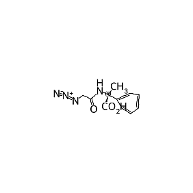 C[C@](NC(=O)CN=[N+]=[N-])(C(=O)O)c1ccccc1